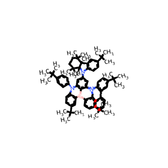 CC(C)(C)c1ccc(N2c3ccc(C(C)(C)C)cc3B3c4ccc(C(C)(C)C)cc4N(c4ccc(C(C)(C)C)cc4-c4ccccc4)c4cc(N5c6ccc(C(C)(C)C)cc6C6(C)C(C)(C)CCC(C)(C)C56C)cc2c43)cc1